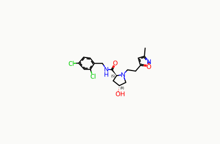 Cc1cc(CCN2C[C@H](O)C[C@H]2C(=O)NCc2ccc(Cl)cc2Cl)on1